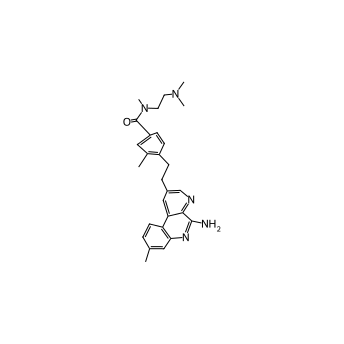 Cc1ccc2c(c1)nc(N)c1ncc(CCc3ccc(C(=O)N(C)CCN(C)C)cc3C)cc12